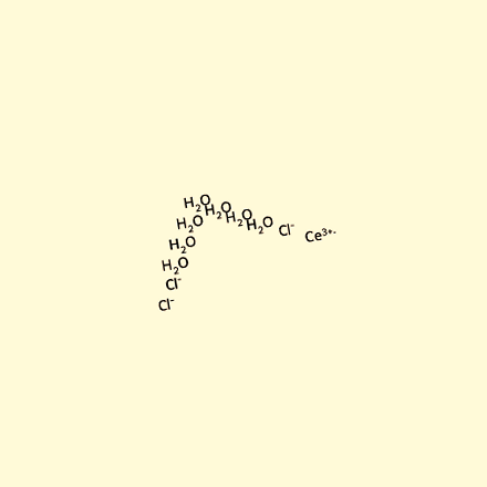 O.O.O.O.O.O.O.[Ce+3].[Cl-].[Cl-].[Cl-]